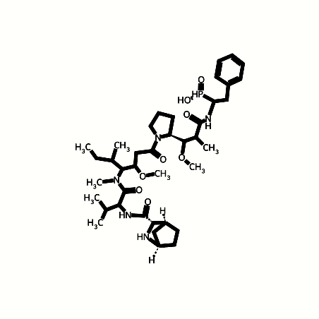 CCC(C)C(C(CC(=O)N1CCC[C@H]1C(OC)C(C)C(=O)NC(Cc1ccccc1)[PH](=O)O)OC)N(C)C(=O)C(NC(=O)[C@H]1N[C@@H]2CC[C@H]1C2)C(C)C